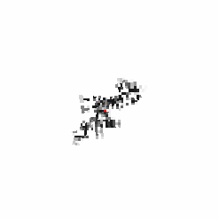 CC1(C)CCOc2c(C(=O)NC3CN4C(=N)N[C@@H](CNC(=O)CC5CC5)C5NC(=N)NC54[C@@H]3O)cccc21